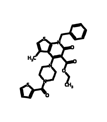 CCOC(=O)c1c(N2CCN(C(=O)c3cccs3)CC2)c2c(C)csc2n(Cc2ccccc2)c1=O